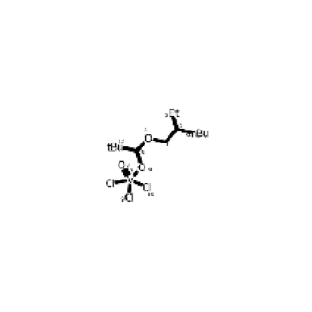 CCCCC(CC)COC([O][V](=[O])([Cl])([Cl])[Cl])C(C)(C)C